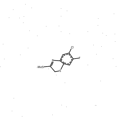 CSC1=Nc2cc(Cl)c(F)cc2SC1